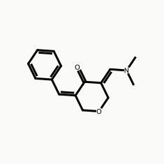 CN(C)C=C1COCC(=Cc2ccccc2)C1=O